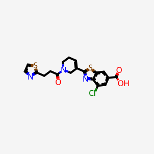 O=C(O)c1cc(Cl)c2nc(C3=CCCN(C(=O)CCc4nccs4)C3)sc2c1